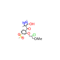 COCC(Cl)COc1cc(S(C)(=O)=O)ccc1C(=O)c1c(C)nn(C)c1O